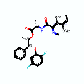 C=N/C(C(=O)N[C@@H](C)C(=O)O[C@@H](C)[C@H](Oc1cc(F)ccc1F)c1ccccc1)=C(OC(C)=O)\C(=C/C)OC